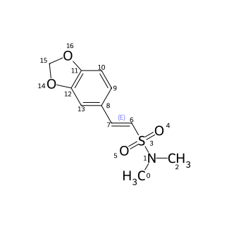 CN(C)S(=O)(=O)/C=C/c1ccc2c(c1)OCO2